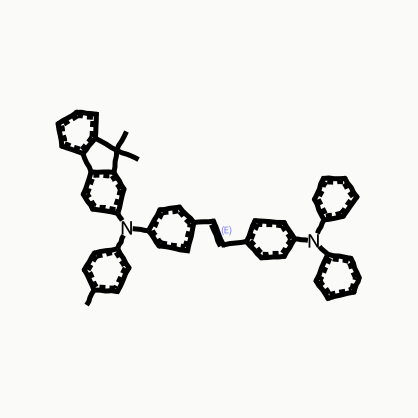 Cc1ccc(N(c2ccc(/C=C/c3ccc(N(c4ccccc4)c4ccccc4)cc3)cc2)c2ccc3c(c2)C(C)(C)c2ccccc2-3)cc1